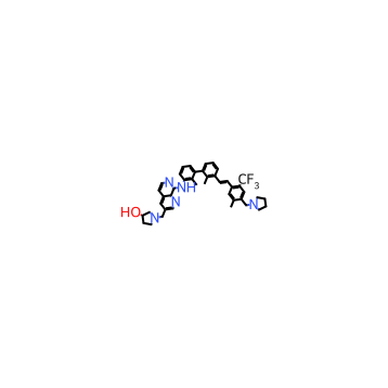 Cc1cc(/C=C/c2cccc(-c3cccc(Nc4nccc5cc(CN6CC[C@@H](O)C6)cnc45)c3C)c2C)c(C(F)(F)F)cc1CN1CCCC1